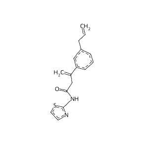 C=CCc1cccc(C(=C)CC(=O)Nc2nccs2)c1